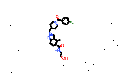 Cc1c(C(=O)NCCO)ccc2nn(CC3CCN(C(=O)c4ccc(Cl)cc4)CC3)cc12